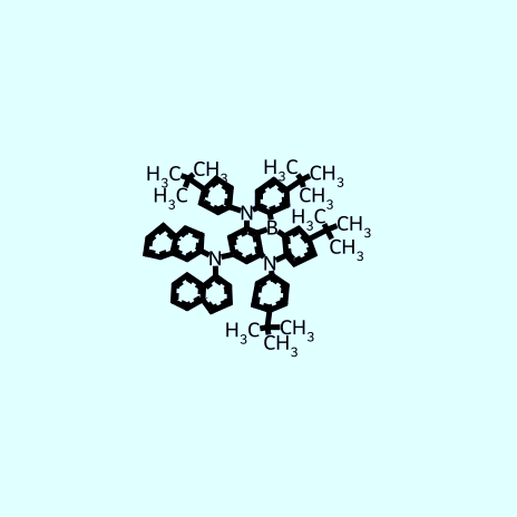 CC(C)(C)c1ccc(N2c3ccc(C(C)(C)C)cc3B3c4cc(C(C)(C)C)ccc4N(c4ccc(C(C)(C)C)cc4)c4cc(N(c5ccc6ccccc6c5)c5cccc6ccccc56)cc2c43)cc1